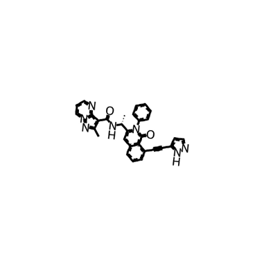 Cc1nn2cccnc2c1C(=O)N[C@H](C)c1cc2cccc(C#Cc3ccn[nH]3)c2c(=O)n1-c1ccccc1